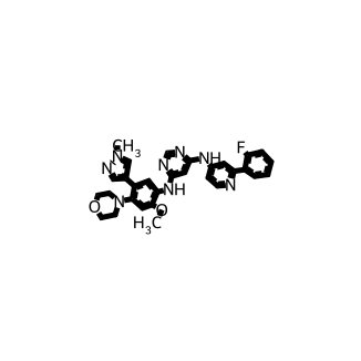 COc1cc(N2CCOCC2)c(-c2cnn(C)c2)cc1Nc1cc(Nc2ccnc(-c3ccccc3F)c2)ncn1